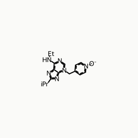 CCNc1ncn(Cc2cc[n+]([O-])cc2)c2nc(C(C)C)nc1-2